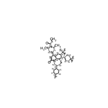 C=CC(=O)N1C(C)CN(c2nc(=O)n3c4c(c(C5=CCC(F)(F)CC5)c(C(F)(F)F)cc24)SCC(c2ccc(F)cc2)C3)CC1C